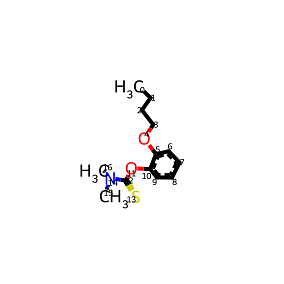 CCCCOc1ccccc1OC(=S)N(C)C